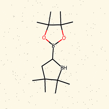 CC1(C)BC(B2OC(C)(C)C(C)(C)O2)CC1(C)C